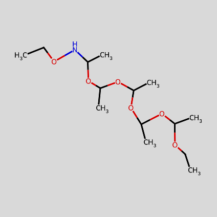 CCONC(C)OC(C)OC(C)OC(C)OC(C)OCC